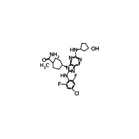 C[C@]1(C(N)=O)CC[C@@H](n2c(Nc3c(F)cc(Cl)cc3F)nc3cnc(N[C@H]4CC[C@H](O)C4)nc32)CC1